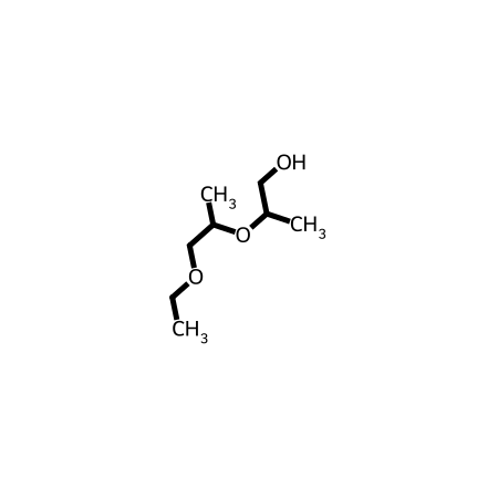 CCOCC(C)OC(C)CO